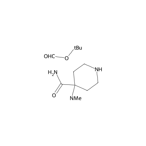 CC(C)(C)OC=O.CNC1(C(N)=O)CCNCC1